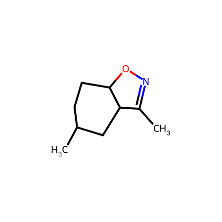 CC1=NOC2CCC(C)CC12